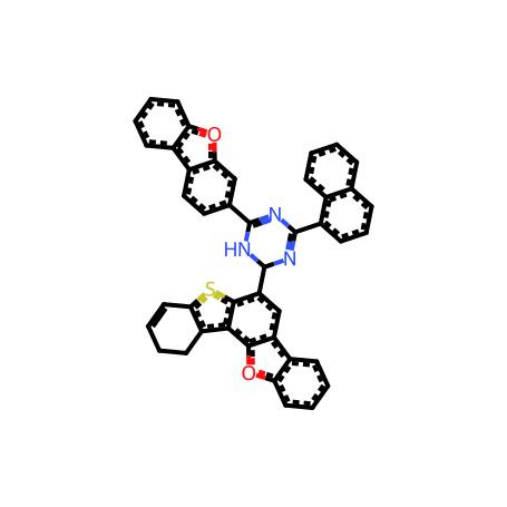 C1=Cc2sc3c(C4N=C(c5cccc6ccccc56)N=C(c5ccc6c(c5)oc5ccccc56)N4)cc4c5ccccc5oc4c3c2CC1